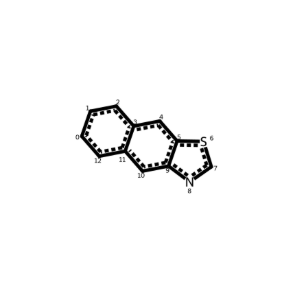 c1ccc2cc3scnc3cc2c1